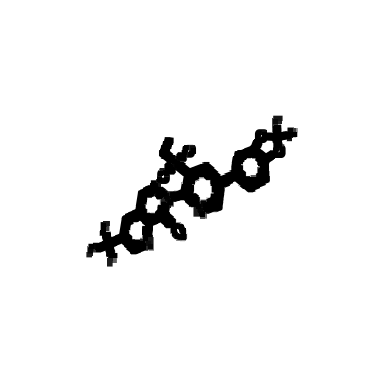 CCS(=O)(=O)c1cc(-c2ccc3c(c2)OC(F)(F)O3)cnc1-n1ncc2cc(C(F)(F)F)cnc2c1=O